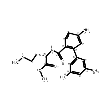 COC(=O)[C@H](CCSC)NC(=O)c1ccc(N)cc1-c1cc(C)cc(C)c1